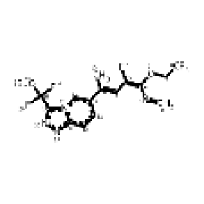 C=N/C(OCC(F)(F)F)=C(F)\C=C(/C)c1ccc2nnc(C(F)(F)OCC(C)C)n2c1